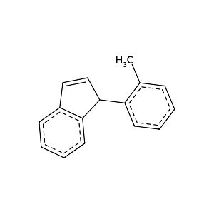 Cc1ccccc1C1C=Cc2ccccc21